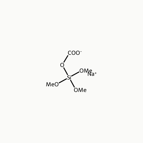 CO[Si](OC)(OC)OC(=O)[O-].[Na+]